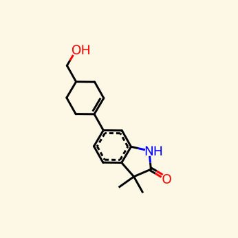 CC1(C)C(=O)Nc2cc(C3=CCC(CO)CC3)ccc21